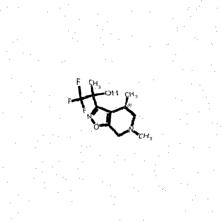 C[C@H]1CN(C)Cc2onc(C(C)(O)C(F)(F)F)c21